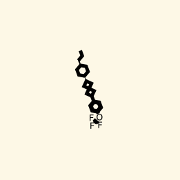 CCC[C@H]1CC[C@H](C2CC3(CC(c4ccc(OC(F)(F)F)cc4)C3)C2)CC1